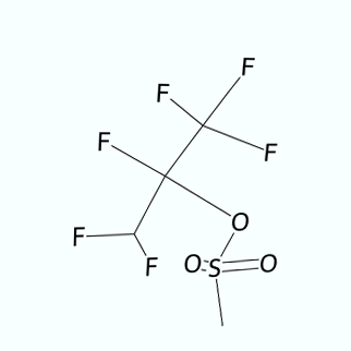 CS(=O)(=O)OC(F)(C(F)F)C(F)(F)F